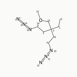 CCC(CCN=[N+]=[N-])(CCN=[N+]=[N-])COC